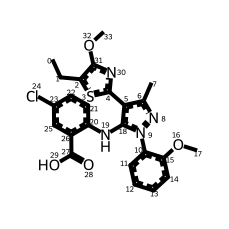 CCc1sc(-c2c(C)nn(-c3ccccc3OC)c2Nc2ccc(Cl)cc2C(=O)O)nc1OC